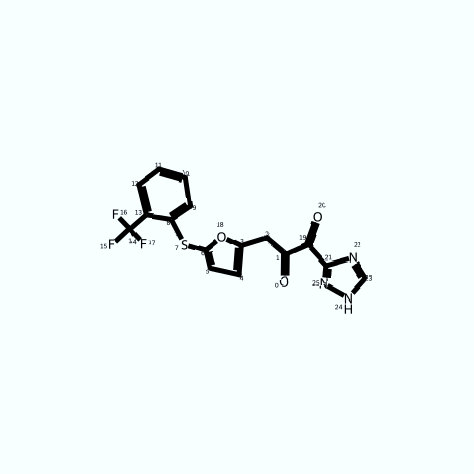 O=C(Cc1ccc(Sc2ccccc2C(F)(F)F)o1)C(=O)c1nc[nH]n1